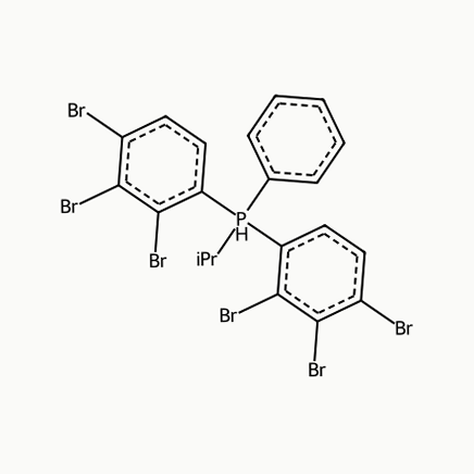 CC(C)[PH](c1ccccc1)(c1ccc(Br)c(Br)c1Br)c1ccc(Br)c(Br)c1Br